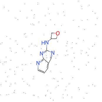 c1cnc2nc(NC3COC3)ncc2c1